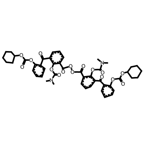 CN(C)C(=O)Oc1c(C(=O)OOC(=O)c2cccc(C(=O)c3ccccc3OC(=O)OC3CCCCC3)c2OC(=O)N(C)C)cccc1C(=O)c1ccccc1OC(=O)OC1CCCCC1